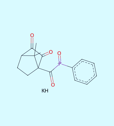 CC1(C)C2CCC1(C(=O)[P](=O)c1ccccc1)C(=O)C2=O.[KH]